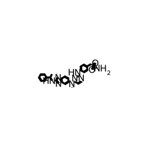 CC(Nc1nc2cc(N(C)c3ccnc(Nc4ccc(CS(N)(=O)=O)cc4)n3)ccc2n1C)c1ccccc1